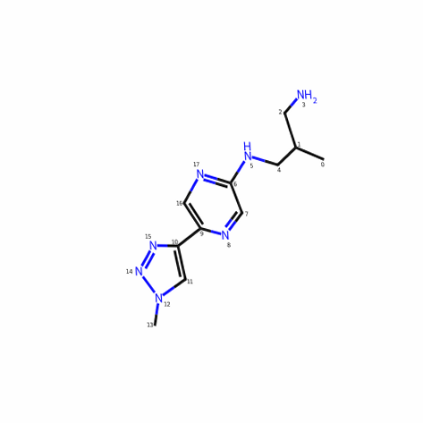 CC(CN)CNc1cnc(-c2cn(C)nn2)cn1